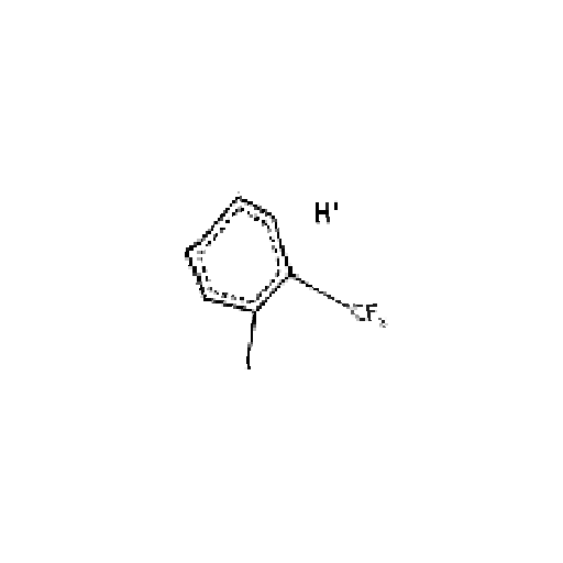 Cc1cc[c]cc1C(F)(F)F.[H+]